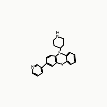 c1cncc(-c2ccc3c(c2)Sc2ccccc2N3C2CCNCC2)c1